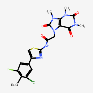 CC(C)COc1c(F)cc(-c2csc(NC(=O)Cn3c(=O)n(C)c4c3c(=O)n(C)c(=O)n4C)n2)cc1Cl